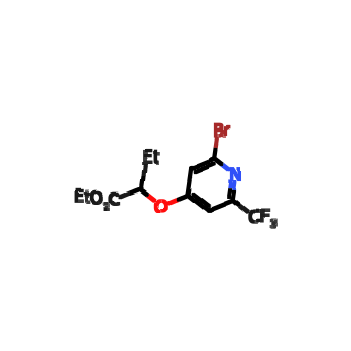 CCOC(=O)C(CC)Oc1cc(Br)nc(C(F)(F)F)c1